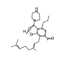 CCCc1cc(P=O)c(C/C=C(\C)CCC=C(C)C)c(OP)c1C(=O)N1CCNCC1